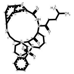 CC(C)CCC(=O)N1NC(=O)c2cc3cc(ccc3o2)OCC[N+]2(CCOCC2)C2C(=O)C1CCCN2S(=O)(=O)c1ccccc1